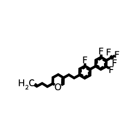 C=CCCC1CCC(CCc2ccc(-c3cc(F)c(C(F)(F)F)c(F)c3)c(F)c2)=CO1